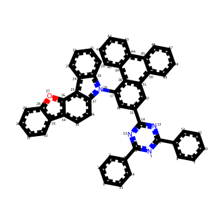 c1ccc(-c2nc(-c3ccccc3)nc(-c3cc(-n4c5ccccc5c5c6oc7ccccc7c6ccc54)c4c5ccccc5c5ccccc5c4c3)n2)cc1